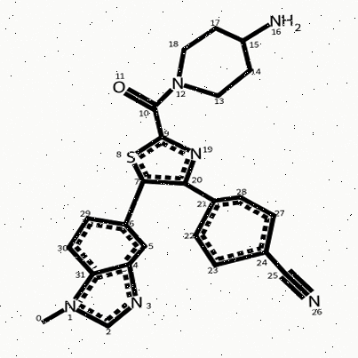 Cn1cnc2cc(-c3sc(C(=O)N4CCC(N)CC4)nc3-c3ccc(C#N)cc3)ccc21